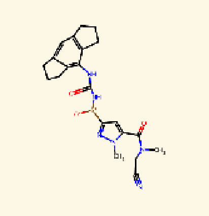 CN(CC#N)C(=O)c1cc([S+]([O-])NC(=O)Nc2c3c(cc4c2CCC4)CCC3)nn1C